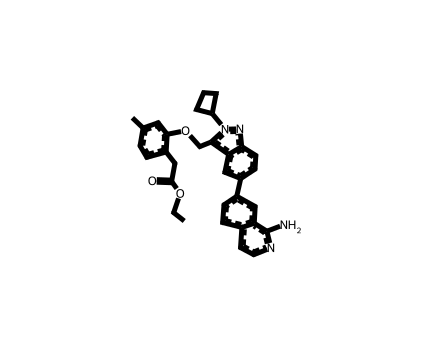 CCOC(=O)Cc1ccc(C)cc1OCc1c2cc(-c3ccc4ccnc(N)c4c3)ccc2nn1C1CCC1